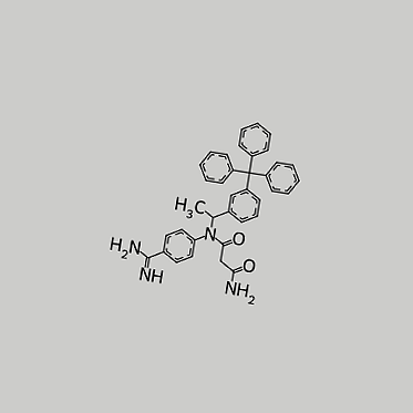 CC(c1cccc(C(c2ccccc2)(c2ccccc2)c2ccccc2)c1)N(C(=O)CC(N)=O)c1ccc(C(=N)N)cc1